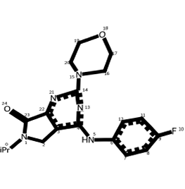 CC(C)N1Cc2c(Nc3ccc(F)cc3)nc(N3CCOCC3)nc2C1=O